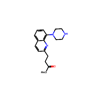 COC(=O)CCc1ccc2cccc(N3CCNCC3)c2n1